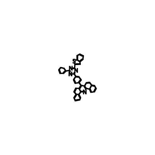 C1=CCCC(c2nc(-c3ccc(-c4c5ccc6ccccc6c5nc5c4ccc4ccccc45)cc3)nc(-c3cc4ccccc4s3)n2)=C1